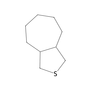 C1CCC2CSCC2CC1